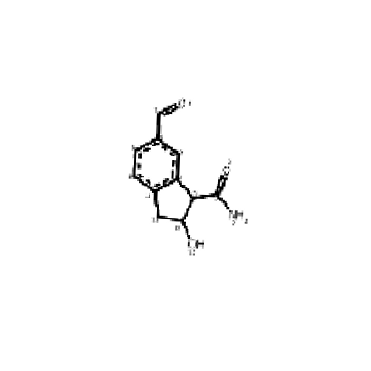 NC(=O)C1c2cc(C=O)ccc2CC1O